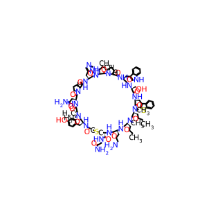 CCCC[C@H]1C(=O)N(C)[C@@H](CCCC)C(=O)N[C@@H](CCCN)C(=O)N[C@H](C(=O)NCC(N)=O)CSCC(=O)N[C@@H](Cc2ccc(O)cc2)C(=O)N(C)[C@@H](C)C(=O)N[C@@H](CC(N)=O)C(=O)N2CCC[C@H]2C(=O)N[C@@H](Cc2cnc[nH]2)C(=O)N[C@@H](CC(C)C)C(=O)N2CCC[C@H]2C(=O)N[C@@H](Cc2c[nH]c3ccccc23)C(=O)N[C@@H](CO)C(=O)N[C@@H](Cc2csc3ccccc23)C(=O)N1C